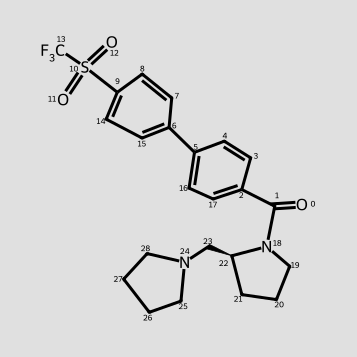 O=C(c1ccc(-c2ccc(S(=O)(=O)C(F)(F)F)cc2)cc1)N1CCC[C@H]1CN1CCCC1